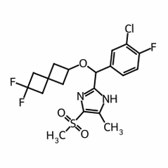 Cc1[nH]c(C(OC2CC3(C2)CC(F)(F)C3)c2ccc(F)c(Cl)c2)nc1S(C)(=O)=O